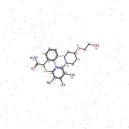 CCc1c(C#N)c(SC(C(N)=O)c2ccccc2)nc(N2CCC(OCCO)CC2)c1C#N